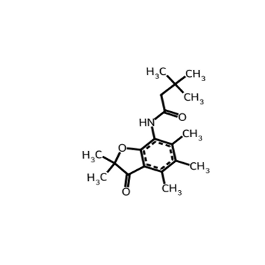 Cc1c(C)c(NC(=O)CC(C)(C)C)c2c(c1C)C(=O)C(C)(C)O2